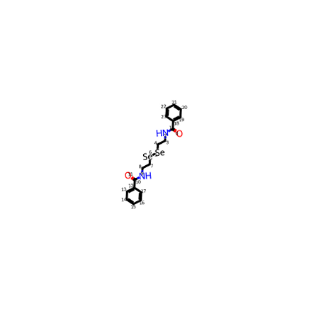 O=C(NCC[Se][Se]CCNC(=O)c1ccccc1)c1ccccc1